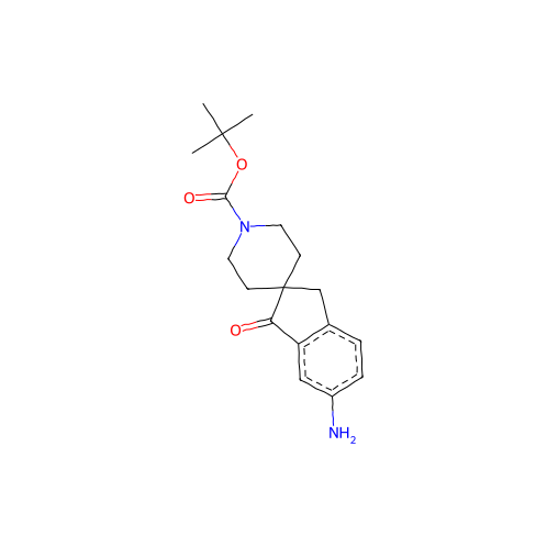 CC(C)(C)OC(=O)N1CCC2(CC1)Cc1ccc(N)cc1C2=O